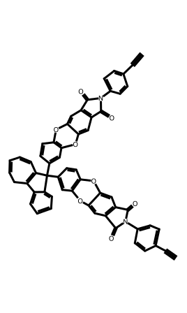 C#Cc1ccc(-n2c(=O)c3cc4oc5ccc(C6(c7ccc8oc9cc%10c(=O)n(-c%11ccc(C#C)cc%11)c(=O)c%10cc9oc8c7)C7=C(CC=CC=C7)c7ccccc76)cc5oc4cc3c2=O)cc1